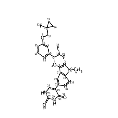 Cn1nc(O[C@H](c2cc(OCC3(F)CC3)ccn2)C(F)F)c2cc(-c3c[nH]c(=O)[nH]c3=O)nnc21